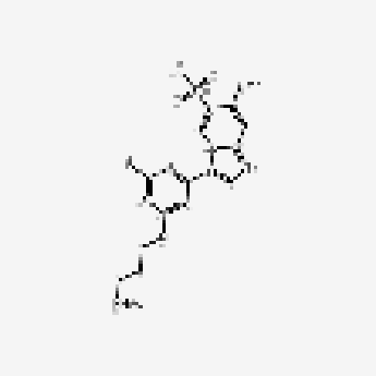 COc1cc2ncc(-c3cc(F)nc(NCCCNC(C)=O)c3)n2cc1S(=O)(=O)C(C)(C)C